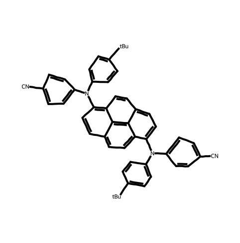 [C-]#[N+]c1ccc(N(c2ccc(C(C)(C)C)cc2)c2ccc3ccc4c(N(c5ccc(C#N)cc5)c5ccc(C(C)(C)C)cc5)ccc5ccc2c3c54)cc1